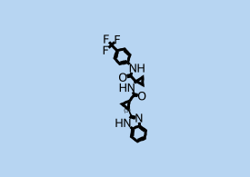 O=C(NC1(C(=O)Nc2ccc(C(F)(F)F)cc2)CC1)C1C[C@@H]1c1nc2ccccc2[nH]1